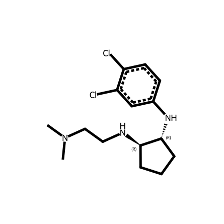 CN(C)CCN[C@@H]1CCC[C@H]1Nc1ccc(Cl)c(Cl)c1